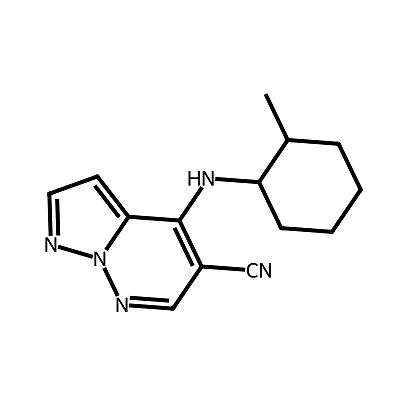 CC1CCCCC1Nc1c(C#N)cnn2nccc12